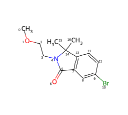 COCCN1C(=O)c2cc(Br)ccc2C1(C)C